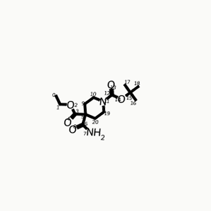 CCOC(=O)C1(C(N)=O)CCN(C(=O)OC(C)(C)C)CC1